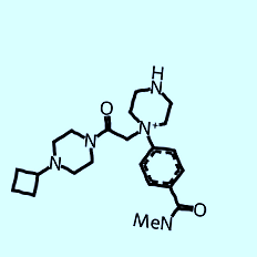 CNC(=O)c1ccc([N+]2(CC(=O)N3CCN(C4CCC4)CC3)CCNCC2)cc1